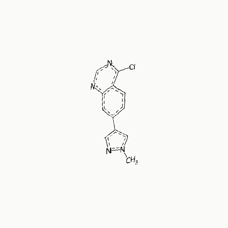 Cn1cc(-c2ccc3c(Cl)ncnc3c2)cn1